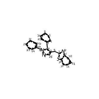 c1ccc(-c2c(Cc3nc4ccccc4s3)cnn2-c2ccccc2)cc1